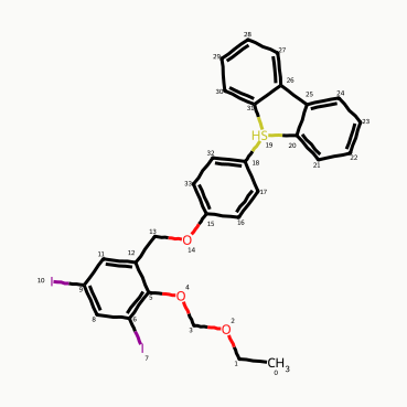 CCOCOc1c(I)cc(I)cc1COc1ccc([SH]2c3ccccc3-c3ccccc32)cc1